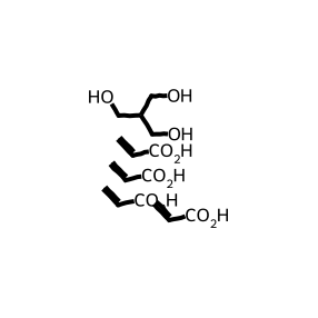 C=CC(=O)O.C=CC(=O)O.C=CC(=O)O.C=CC(=O)O.OCC(CO)CO